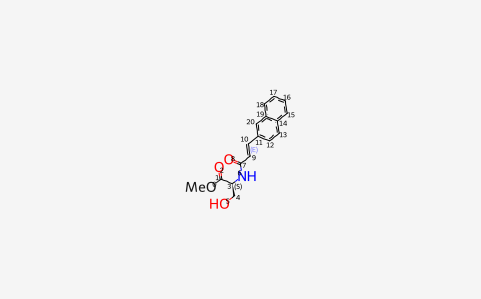 COC(=O)[C@H](CO)NC(=O)/C=C/c1ccc2ccccc2c1